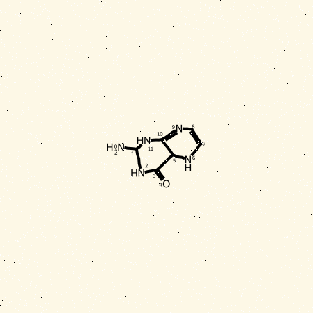 NC1NC(=O)C2NC=CN=C2N1